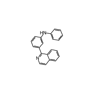 c1ccc(Nc2cccc(-c3nccc4ccccc34)c2)cc1